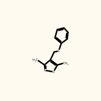 Cc1noc(C)c1CSc1[c]cccc1